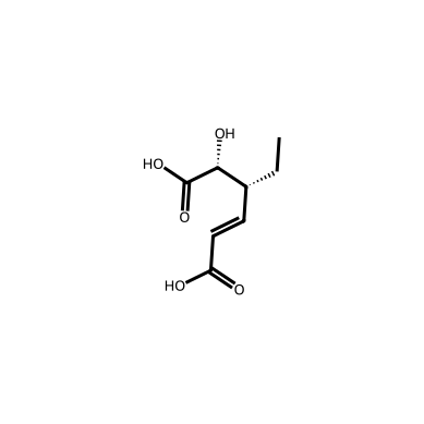 CC[C@H](C=CC(=O)O)[C@@H](O)C(=O)O